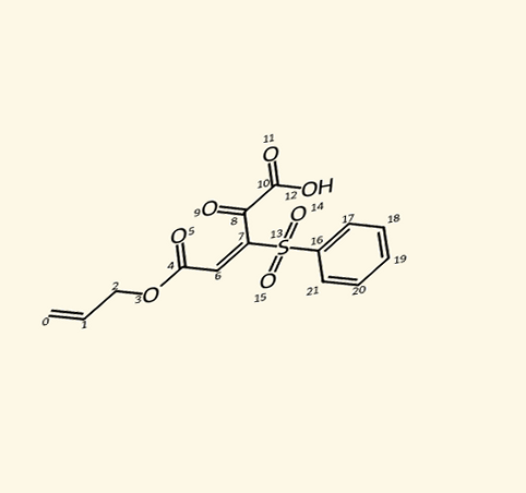 C=CCOC(=O)/C=C(\C(=O)C(=O)O)S(=O)(=O)c1ccccc1